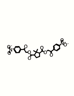 CC1(C)C(C(=O)OCC(=O)c2ccc([N+](=O)[O-])cc2)CCC1C(=O)OCC(=O)c1ccc([N+](=O)[O-])cc1